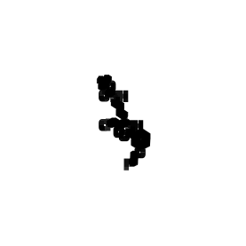 CC(C)(C)OC(=O)NCCCC[C@H](NC(=O)c1cccc(OCCF)c1)C(=O)CCl